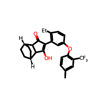 CCc1ccc(Oc2ccc(C)cc2C(F)(F)F)cc1C1=C(O)C2C(C1=O)[C@H]1CC[C@@H]2CC1